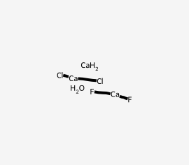 O.[CaH2].[Cl][Ca][Cl].[F][Ca][F]